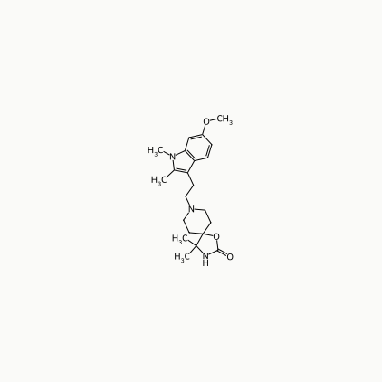 COc1ccc2c(CCN3CCC4(CC3)OC(=O)NC4(C)C)c(C)n(C)c2c1